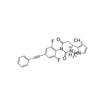 CN1C(=O)N(c2c(F)cc(C#Cc3ccccc3)cc2F)C(=O)C[C@@]1(C)c1ccc[nH]1